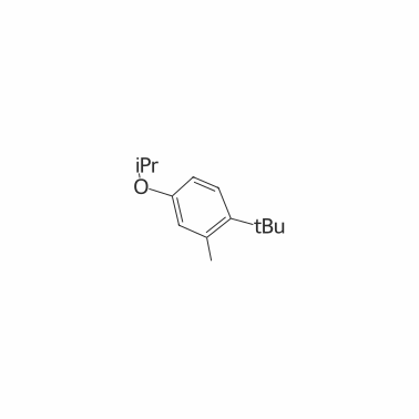 Cc1cc(OC(C)C)ccc1C(C)(C)C